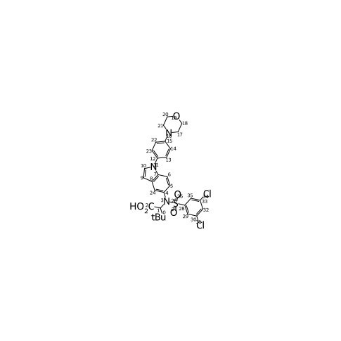 CC(C)(C)C(C(=O)O)N(c1ccc2c(ccn2-c2ccc(N3CCOCC3)cc2)c1)S(=O)(=O)c1cc(Cl)cc(Cl)c1